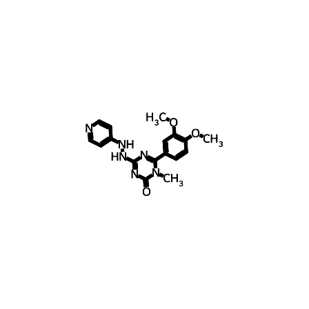 COc1ccc(-c2nc(NNc3ccncc3)nc(=O)n2C)cc1OC